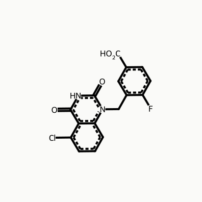 O=C(O)c1ccc(F)c(Cn2c(=O)[nH]c(=O)c3c(Cl)cccc32)c1